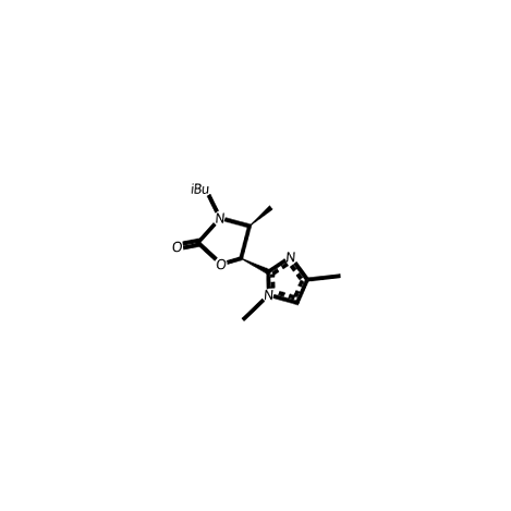 CCC(C)N1C(=O)O[C@H](c2nc(C)cn2C)[C@@H]1C